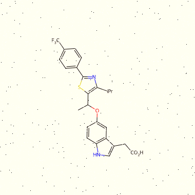 CC(C)c1nc(-c2ccc(C(F)(F)F)cc2)sc1C(C)Oc1ccc2[nH]cc(CC(=O)O)c2c1